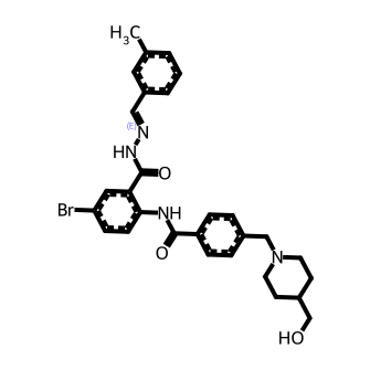 Cc1cccc(/C=N/NC(=O)c2cc(Br)ccc2NC(=O)c2ccc(CN3CCC(CO)CC3)cc2)c1